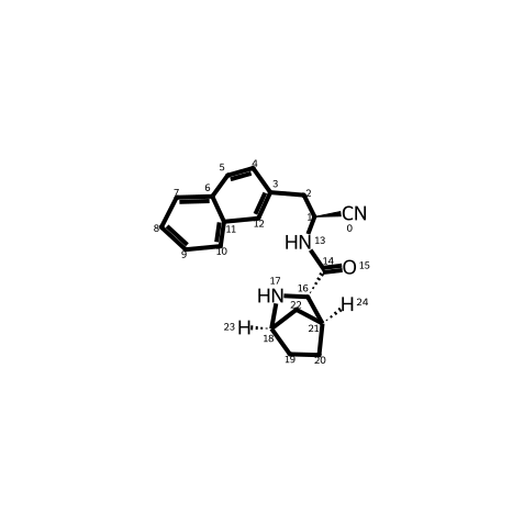 N#C[C@H](Cc1ccc2ccccc2c1)NC(=O)[C@H]1N[C@@H]2CC[C@H]1C2